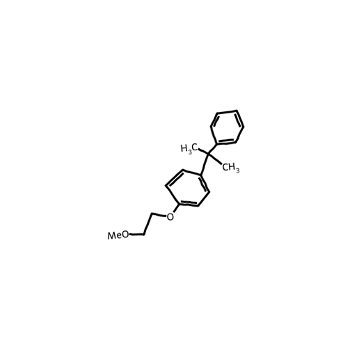 COCCOc1ccc(C(C)(C)c2ccccc2)cc1